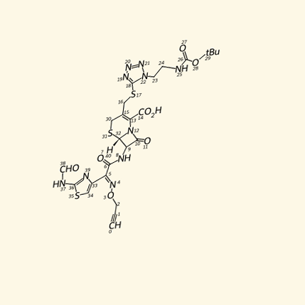 C#CCON=C(C(=O)NC1C(=O)N2C(C(=O)O)=C(CSc3nnnn3CCNC(=O)OC(C)(C)C)CS[C@@H]12)c1csc(NC=O)n1